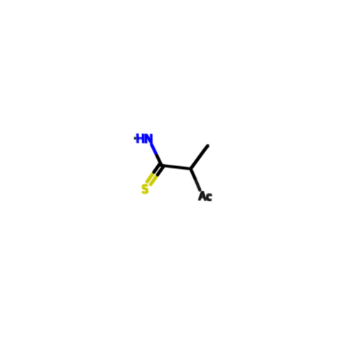 CC(=O)C(C)C([NH])=S